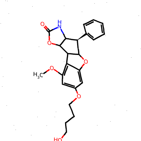 COc1cc(OCCCCO)cc2c1C1C3OC(=O)NC3[C@@H](c3ccccc3)C1O2